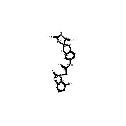 Cc1cccc2oc(=O)n(CC(=O)Nc3ccc4c(c3)CC3(C4)NC(=O)NC3=O)c12